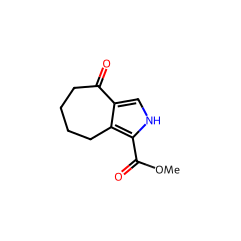 COC(=O)c1[nH]cc2c1CCCCC2=O